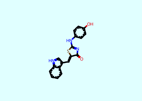 O=C1N=C(Nc2ccc(O)cc2)S/C1=C\c1c[nH]c2ccccc12